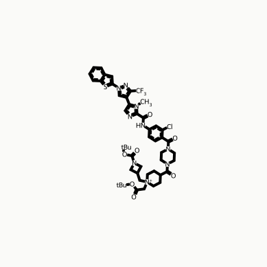 Cn1c(-c2cn(-c3cc4ccccc4s3)nc2C(F)(F)F)cnc1C(=O)Nc1ccc(C(=O)N2CCN(C(=O)C3CC[N+](CC(=O)OC(C)(C)C)(CC4CN(C(=O)OC(C)(C)C)C4)CC3)CC2)c(Cl)c1